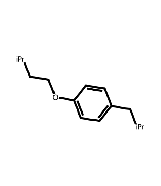 CC(C)CCOc1ccc(CC(C)C)cc1